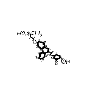 CN(CCOc1ccc(C=C(CCc2ccc(O)cc2)c2ccccc2)cc1)C(=O)O